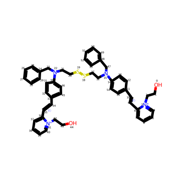 OCC[n+]1ccccc1/C=C/c1ccc(N(CCSSCCN(Cc2ccccc2)c2ccc(/C=C/c3cccc[n+]3CCO)cc2)Cc2ccccc2)cc1